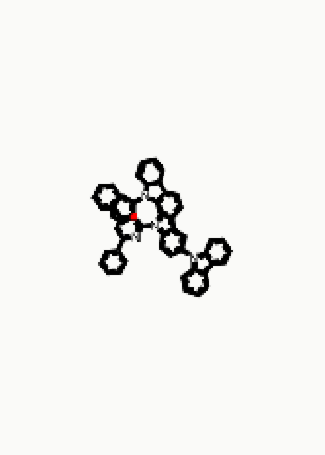 C1=CC2c3ccc4c5cc(-n6c7ccccc7c7ccccc76)ccc5n(-c5cc(-c6ccccc6)cc(-c6ccccc6)n5)c4c3N(c3ccccc3)C2C=C1